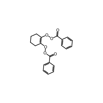 O=C(OOC1=C(OOC(=O)c2ccccc2)CCCC1)c1ccccc1